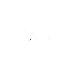 NC[C@@]1(CC(=O)O)CC2C=CCC21